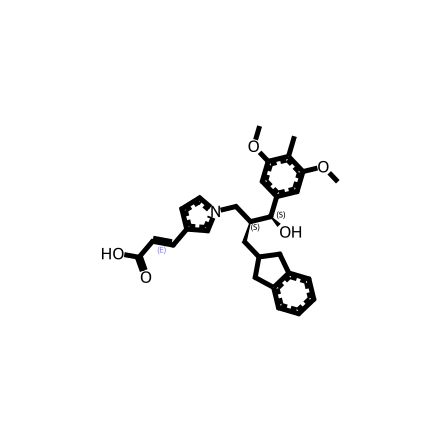 COc1cc([C@@H](O)[C@@H](CC2Cc3ccccc3C2)Cn2ccc(/C=C/C(=O)O)c2)cc(OC)c1C